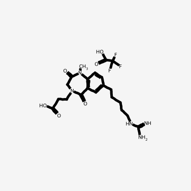 CN1C(=O)CN(CCC(=O)O)C(=O)c2cc(CCCCCNC(=N)N)ccc21.O=C(O)C(F)(F)F